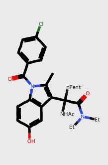 CCCCCC(NC(C)=O)(C(=O)N(CC)CC)c1c(C)n(C(=O)c2ccc(Cl)cc2)c2ccc(O)cc12